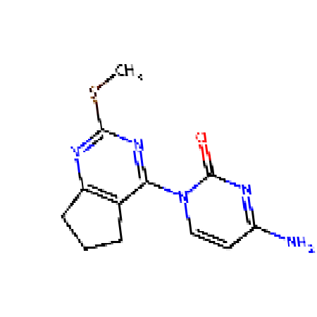 CSc1nc2c(c(-n3ccc(N)nc3=O)n1)CCC2